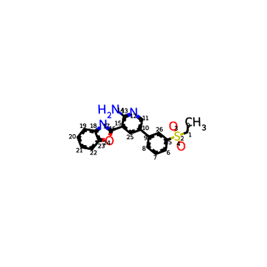 CCS(=O)(=O)c1cccc(-c2cnc(N)c(-c3nc4ccccc4o3)c2)c1